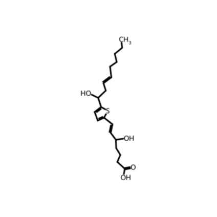 CCCCCC=CCC(O)c1ccc(C=CC(O)CCCC(=O)O)s1